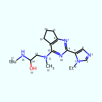 CCn1cncc1-c1nc2c(c(N(C)CC(O)NC(C)(C)C)n1)CCC2